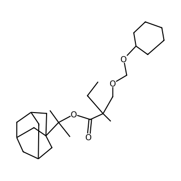 CCC(C)(COCOC1CCCCC1)C(=O)OC(C)(C)C12CC3CC(CC(C3)C1)C2